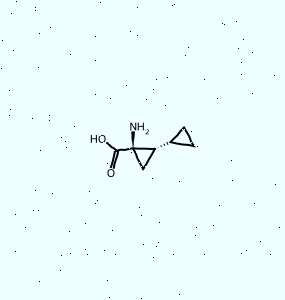 N[C@]1(C(=O)O)C[C@H]1C1CC1